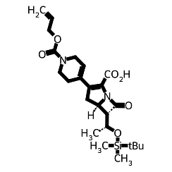 C=CCOC(=O)N1CC=C(C2=C(C(=O)O)N3C(=O)[C@H]([C@@H](C)O[Si](C)(C)C(C)(C)C)[C@H]3C2)CC1